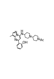 CC(=O)N1CCC(N2CCC(Nc3cc(-c4ccccc4O)nc4c(C)cnn34)CC2)CC1